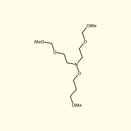 COCCCON(CCOCOC)CCOCOC